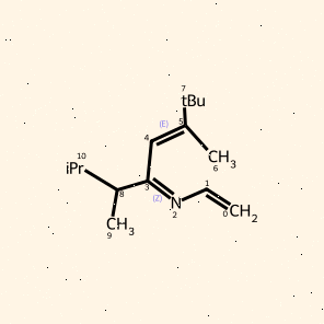 C=C/N=C(\C=C(/C)C(C)(C)C)C(C)C(C)C